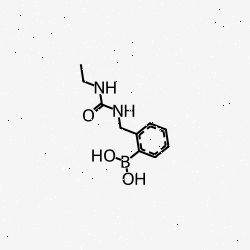 CCNC(=O)NCc1ccccc1B(O)O